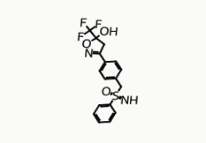 N=S(=O)(Cc1ccc(C2=NOC(O)(C(F)(F)F)C2)cc1)c1ccccc1